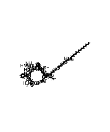 CCCCCCCCCCCCCCCC(=O)NCCOCCOCCOCCOCCC(=O)N[C@@H](CCCC)C(=O)N[C@H]1CCC(=O)NCCCC[C@@H](C(N)=O)NC(=O)[C@H](Cc2c[nH]c3ccccc23)NC(=O)[C@H](CCCNC(=N)N)NC(=O)[C@@H](Cc2ccccc2)NC(=O)[C@@H]2C[C@@H](O)CN2C1=O